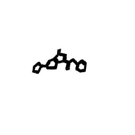 O=C(Cc1ccccc1)c1c[nH]c2cc(N3CCCC3)ccc12